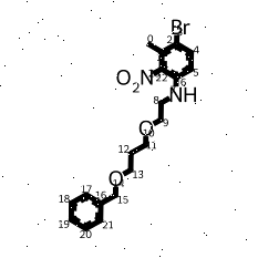 Cc1c(Br)ccc(NCCOCCCOCc2ccccc2)c1[N+](=O)[O-]